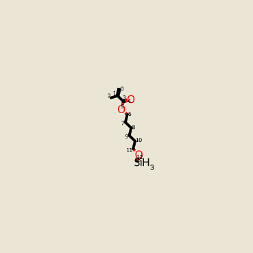 C=C(C)C(=O)OCCCCCCO[SiH3]